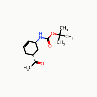 CC(=O)[C@@H]1CC=C[C@@H](NC(=O)OC(C)(C)C)C1